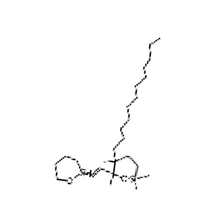 CCCCCCCCCCCCC1(C)CC[Si](C)(C)OC1(C)C=C[SiH]1CCCCO1